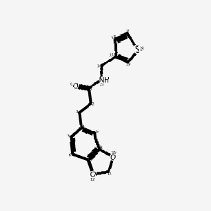 O=C(CCc1ccc2c(c1)OCO2)NCc1ccsc1